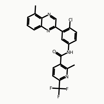 Cc1nc(C(F)(F)F)ccc1C(=O)Nc1ccc(Cl)c(-c2cnc3c(C)cccc3n2)c1